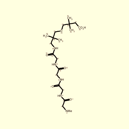 CNCC(=O)NCC(=O)NCC(=O)NCC(=O)NCC(C)(C)COCC(C)(C)CC(=O)O